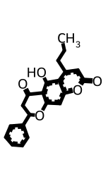 CCCc1cc(=O)oc2cc3c(c(O)c12)C(=O)CC(c1ccccc1)O3